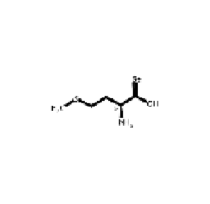 CSCC[C@H](N)C(O)=[Se]